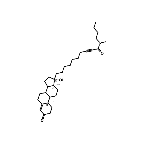 CCCCN(C)C(=O)C#CCCCCCCC[C@]1(O)CCC2C3CCC4=CC(=O)CC[C@]4(C)C3CC[C@@]21C